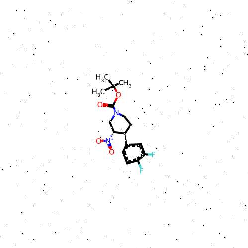 CC(C)(C)OC(=O)N1CC[C@@H](c2ccc(F)c(F)c2)[C@H]([N+](=O)[O-])C1